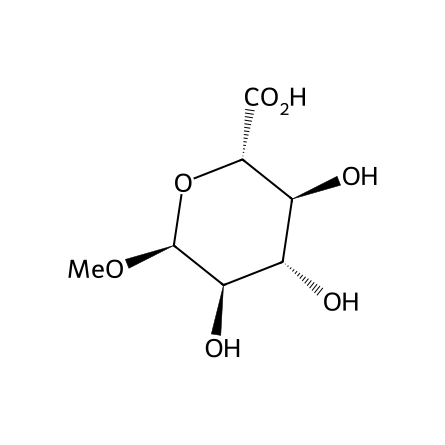 CO[C@H]1O[C@H](C(=O)O)[C@@H](O)[C@H](O)[C@H]1O